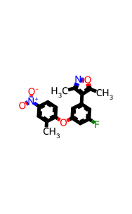 Cc1cc([N+](=O)[O-])ccc1Oc1cc(F)cc(-c2c(C)noc2C)c1